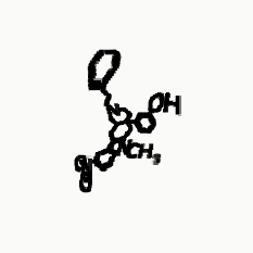 Cn1c2c(c3cc([N+](=O)[O-])ccc31)CC1CN(CCc3ccccc3)CCC1(c1cccc(O)c1)C2